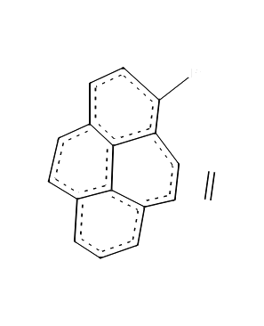 Brc1ccc2ccc3cccc4ccc1c2c34.C=O